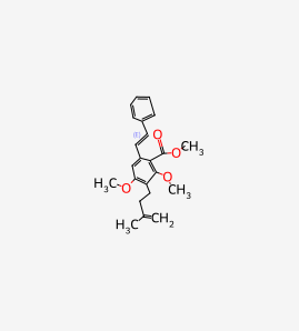 C=C(C)CCc1c(OC)cc(/C=C/c2ccccc2)c(C(=O)OC)c1OC